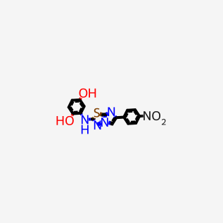 O=[N+]([O-])c1ccc(-c2cn3nc(Nc4cc(O)ccc4O)sc3n2)cc1